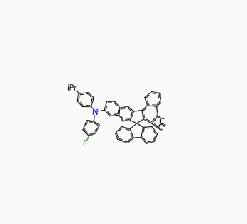 CC(C)c1ccc(N(c2ccc(F)cc2)c2ccc3cc4c(cc3c2)C2(c3ccccc3-c3ccccc32)c2c-4c3ccccc3c3ccccc23)cc1